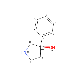 O[C@@]1(c2ccccc2)CCNC1